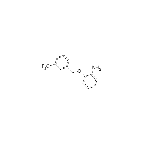 Nc1ccccc1OCc1cccc(C(F)(F)F)c1